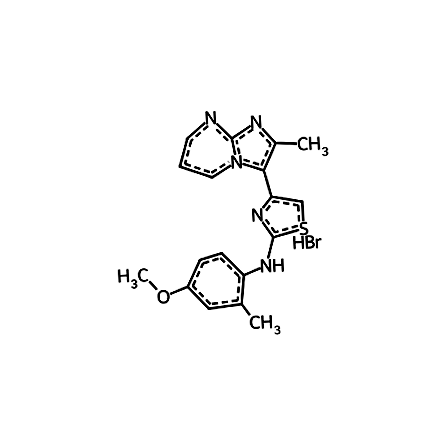 Br.COc1ccc(Nc2nc(-c3c(C)nc4ncccn34)cs2)c(C)c1